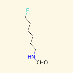 O=CNCCCCCCF